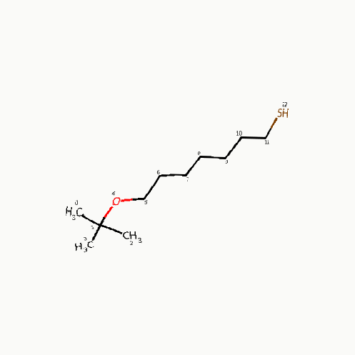 CC(C)(C)OCCCCCCCS